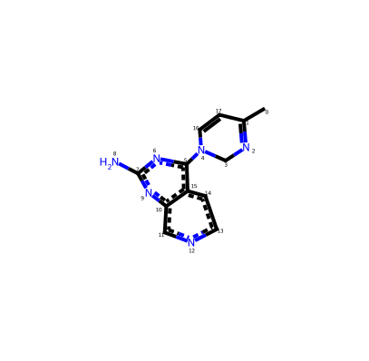 CC1=NCN(c2nc(N)nc3cnccc23)C=C1